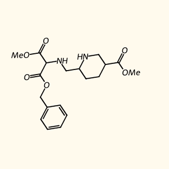 COC(=O)C1CCC(CNC(C(=O)OC)C(=O)OCc2ccccc2)NC1